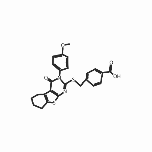 COc1ccc(-n2c(SCc3ccc(C(=O)O)cc3)nc3sc4c(c3c2=O)CCCC4)cc1